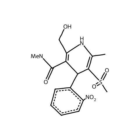 CNC(=O)C1=C(CO)NC(C)=C(S(C)(=O)=O)C1c1ccccc1[N+](=O)[O-]